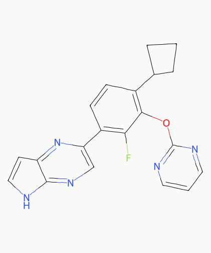 Fc1c(-c2cnc3[nH]ccc3n2)ccc(C2CCC2)c1Oc1ncccn1